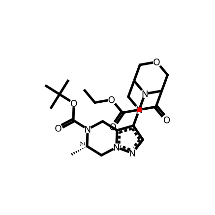 CCOC(=O)CN1C2COCC1C(=O)N(c1cnn3c1CN(C(=O)OC(C)(C)C)[C@@H](C)C3)C2